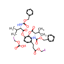 CC(C)[C@H](NC(=O)OCc1ccccc1)C(=O)Oc1ccc(CCC(=O)OCI)cc1OC(=O)[C@@H](NC(=O)OCc1ccccc1)C(C)C.O=C(O)OCI